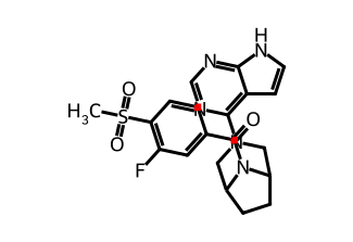 CS(=O)(=O)c1ccc(C(=O)N2C3CCC2CN(c2ncnc4[nH]ccc24)C3)cc1F